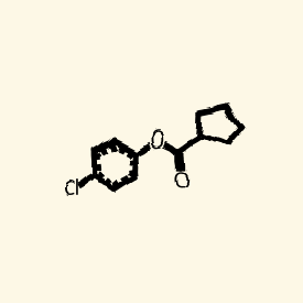 O=C(Oc1ccc(Cl)cc1)C1CCCC1